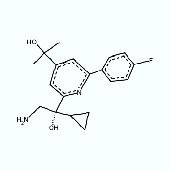 CC(C)(O)c1cc(-c2ccc(F)cc2)nc([C@](O)(CN)C2CC2)c1